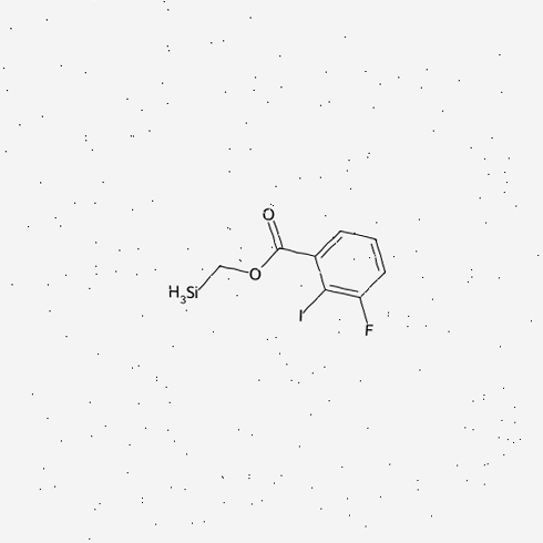 O=C(OC[SiH3])c1cccc(F)c1I